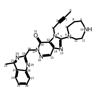 CC#CCn1c(N2CCCNCC2)nc2cnn(Cc3nc(C)c4ccccc4n3)c(=O)c21